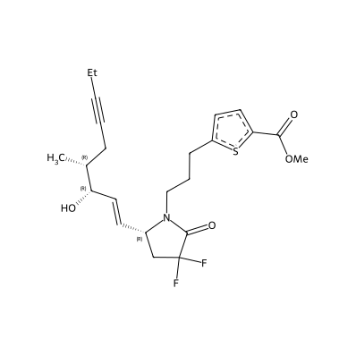 CCC#CC[C@@H](C)[C@@H](O)C=C[C@H]1CC(F)(F)C(=O)N1CCCc1ccc(C(=O)OC)s1